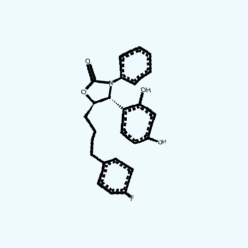 O=C1O[C@H](CCCc2ccc(F)cc2)[C@@H](c2ccc(O)cc2O)N1c1ccccc1